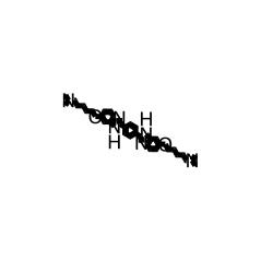 CN(C)CCCCCOc1ccc2nc(-c3ccc(-c4nc5ccc(OCCCCCN(C)C)cc5[nH]4)cc3)[nH]c2c1